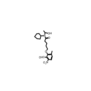 Cc1ccc([N+](=O)[O-])c(C=O)c1OCCCCC(=O)N(C(C)O)C1CCCCC1